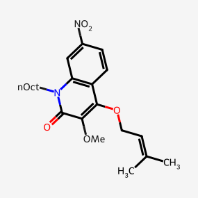 CCCCCCCCn1c(=O)c(OC)c(OCC=C(C)C)c2ccc([N+](=O)[O-])cc21